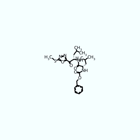 CSc1nnc(C(=O)[C@H](CC(C)C)NC(=O)[C@H](CC(C)C)NC(=O)OCc2ccccc2)o1